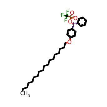 CCCCCCCCCCCCCCCCCCOc1ccc([I+](OS(=O)(=O)C(F)(F)F)c2ccccc2)cc1